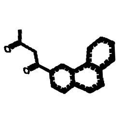 CC(=O)CC(=O)c1ccc2ccc3ccccc3c2c1